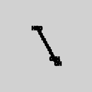 O=C(O)CCCCCCCCCCCCCCCCCCCCC(=O)NCC(=O)O